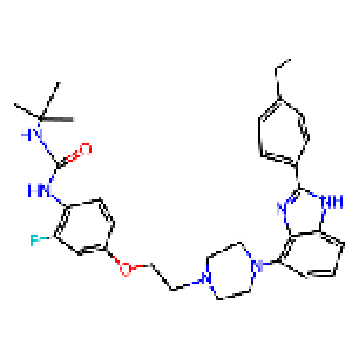 CCc1ccc(-c2nc3c(N4CCN(CCOc5ccc(NC(=O)NC(C)(C)C)c(F)c5)CC4)cccc3[nH]2)cc1